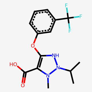 CC(C)N1NC(Oc2cccc(C(F)(F)F)c2)=C(C(=O)O)N1C